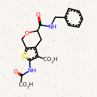 O=C(O)C(=O)Nc1sc2c(c1C(=O)O)CC(C(=O)NCc1ccccc1)OC2